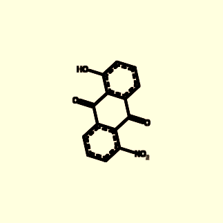 O=C1c2cccc([N+](=O)[O-])c2C(=O)c2cccc(O)c21